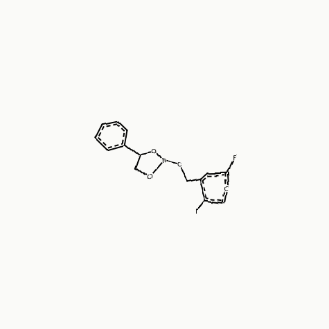 Fc1ccc(I)c(COB2OCC(c3ccccc3)O2)c1